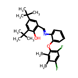 Bc1c(F)cc(F)c(Oc2ccccc2/N=C/c2cc(C(C)(C)C)cc(C(C)(C)C)c2O)c1B